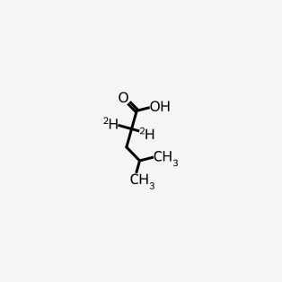 [2H]C([2H])(CC(C)C)C(=O)O